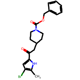 Cc1[nH]c(C(=O)CC2CCN(C(=O)OCc3ccccc3)CC2)cc1Br